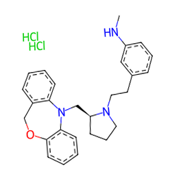 CNc1cccc(CCN2CCC[C@H]2CN2c3ccccc3COc3ccccc32)c1.Cl.Cl